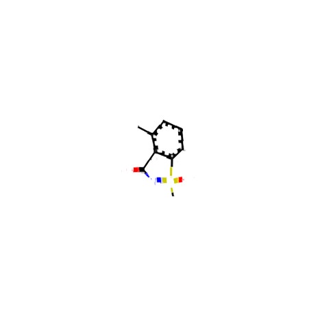 Cc1cccc2c1C(=O)N=S2(C)=O